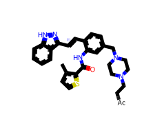 CC(=O)CCN1CCN(Cc2ccc(/C=C/c3n[nH]c4ccccc34)c(NC(=O)c3sccc3C)c2)CC1